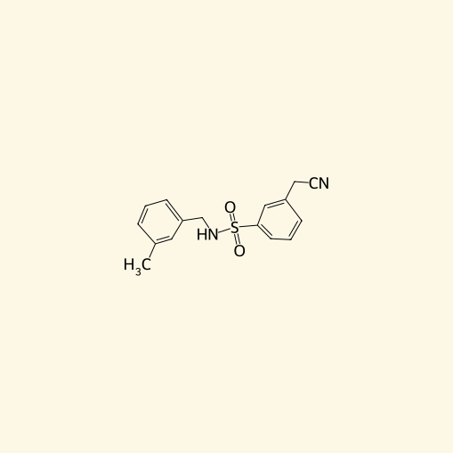 Cc1cccc(CNS(=O)(=O)c2cccc(CC#N)c2)c1